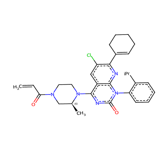 C=CC(=O)N1CCN(c2nc(=O)n(-c3ccccc3C(C)C)c3nc(C4=CCCCC4)c(Cl)cc23)[C@@H](C)C1